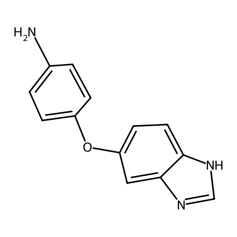 Nc1ccc(Oc2ccc3[nH]cnc3c2)cc1